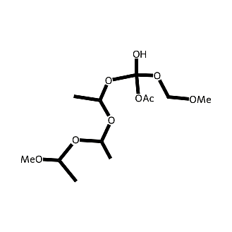 COCOC(O)(OC(C)=O)OC(C)OC(C)OC(C)OC